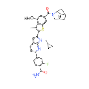 COc1cc(C(=O)N2CC3CC4CC2[C@H]43)cc2sc(-c3cc4ccc(-c5ccc(C(N)=O)c(F)c5)nc4n3CC3CC3)c(C)c12